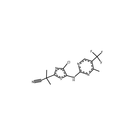 Cc1nc(Nc2sc(C(C)(C)C#N)nc2Cl)ncc1C(F)(F)F